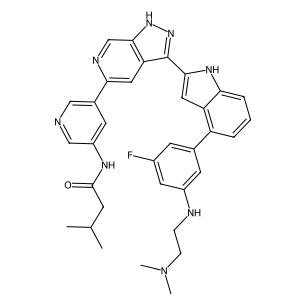 CC(C)CC(=O)Nc1cncc(-c2cc3c(-c4cc5c(-c6cc(F)cc(NCCN(C)C)c6)cccc5[nH]4)n[nH]c3cn2)c1